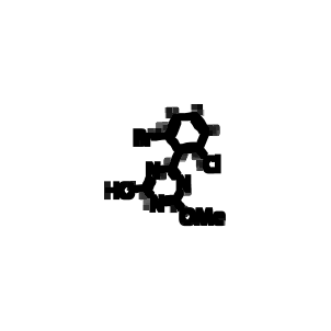 COc1nc(O)nc(-c2c(Cl)cccc2Br)n1